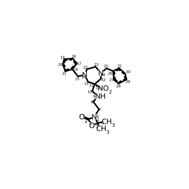 CC1(C)OC(=O)N1CCNCC1([N+](=O)[O-])CN(Cc2ccccc2)CCN(Cc2ccccc2)C1